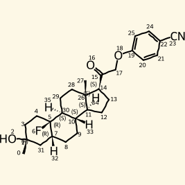 C[C@@]1(O)CC[C@@]2(F)[C@H](CC[C@H]3[C@@H]4CC[C@H](C(=O)COc5ccc(C#N)cc5)[C@@]4(C)CC[C@@H]32)C1